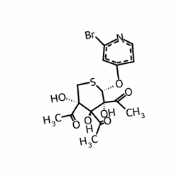 CC(=O)[C@]1(O)[C@@](O)(C(C)=O)CS[C@H](Oc2ccnc(Br)c2)[C@@]1(O)C(C)=O